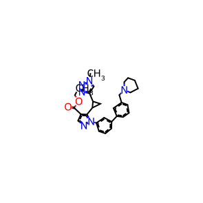 CCOC(=O)c1cnn(-c2cccc(-c3cccc(CN4CCCCC4)c3)c2)c1C1CC1c1cn(C)nn1